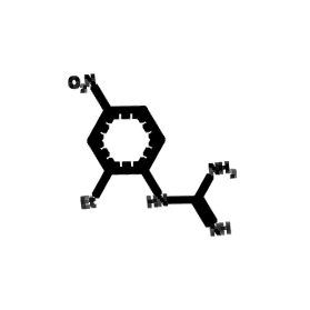 CCc1cc([N+](=O)[O-])ccc1NC(=N)N